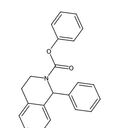 O=C(Oc1ccccc1)N1CCc2ccccc2C1c1ccccc1